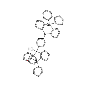 OC(c1ccccc1)(c1ccc(N2c3ccccc3[Si](c3ccccc3)(c3ccccc3)c3ccccc32)cc1)c1ccccc1N(c1ccccc1)c1ccccc1